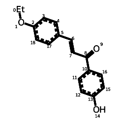 CCOc1ccc(/C=C/C(=O)c2ccc(O)cc2)cc1